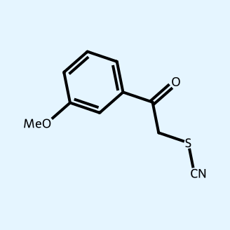 COc1cccc(C(=O)CSC#N)c1